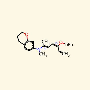 C=C/C(=C\C=C(/C)N(C)c1ccc2c(c1)OCCC2)OCCCC